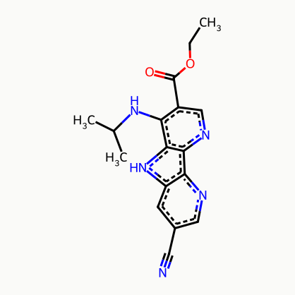 CCOC(=O)c1cnc2c([nH]c3cc(C#N)cnc32)c1NC(C)C